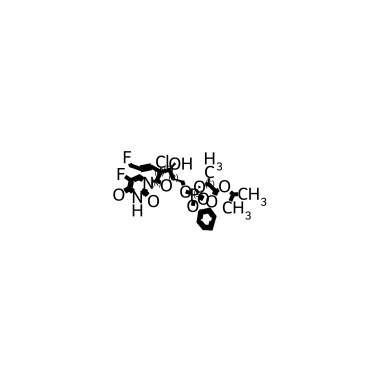 CC(C)OC(=O)[C@H](C)O[P@](=O)(OC[C@H]1O[C@@H](n2cc(F)c(=O)[nH]c2=O)[C@@](Cl)(C#CCF)[C@H]1O)Oc1ccccc1